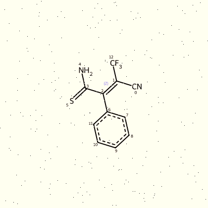 N#C/C(=C(/C(N)=S)c1ccccc1)C(F)(F)F